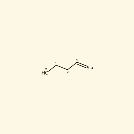 [CH]CCC=S